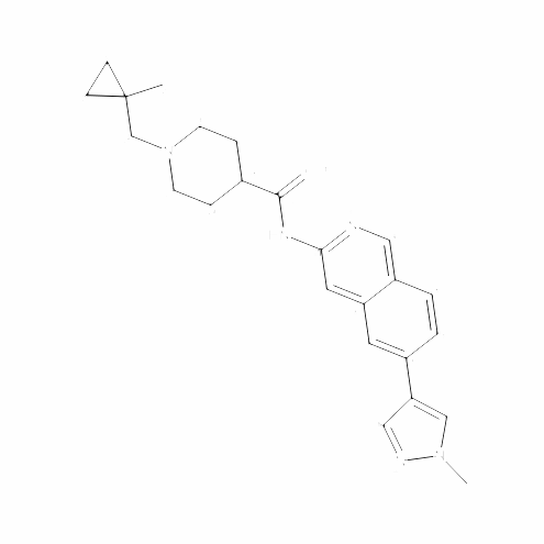 Cn1cc(-c2ccc3cnc(NC(=O)C4CCN(CC5(C)CC5)CC4)cc3c2)cn1